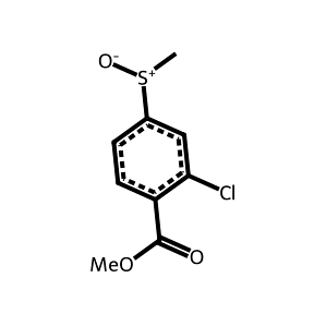 COC(=O)c1ccc([S+](C)[O-])cc1Cl